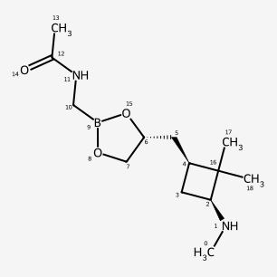 CN[C@H]1C[C@@H](C[C@@H]2COB(CNC(C)=O)O2)C1(C)C